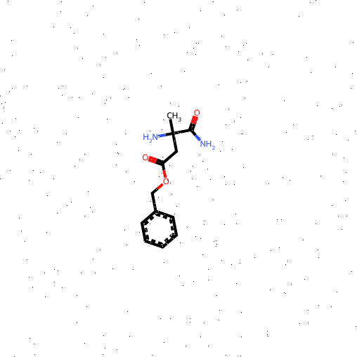 CC(N)(CC(=O)OCc1ccccc1)C(N)=O